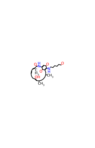 C/C1=C\C=C/CC/C(O)=C/C(C)CCCC(C)CC2=C(NCCCCCC=O)C(=O)C=C(NC1=O)C2=O